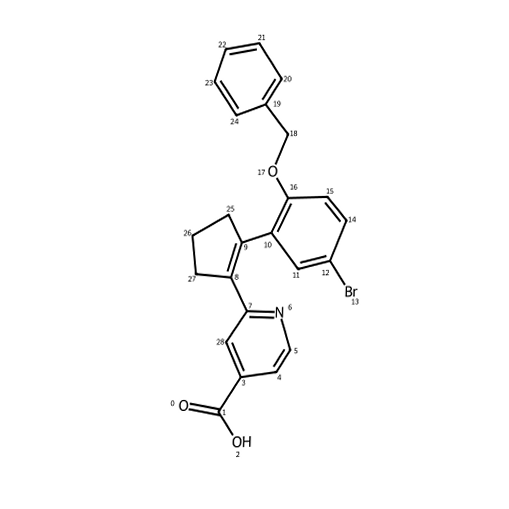 O=C(O)c1ccnc(C2=C(c3cc(Br)ccc3OCc3ccccc3)CCC2)c1